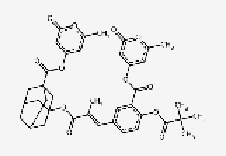 C/C(=C\c1ccc(OC(=O)C(C)(C)C)c(C(=O)Oc2cc(C)oc(=O)c2)c1)C(=O)OC12CC3CC(C1)CC(C(=O)Oc1cc(C)oc(=O)c1)(C3)C2